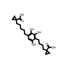 O=C(O)C1(CCCCCc2cc(O)c(CCCCC3(C(=O)O)CC3)c(O)c2O)CC1